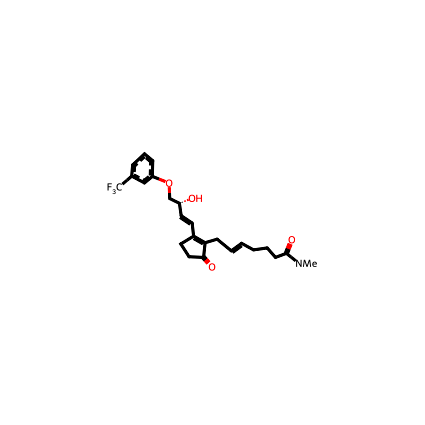 CNC(=O)CCCC=CCC1=C(C=C[C@@H](O)COc2cccc(C(F)(F)F)c2)CCC1=O